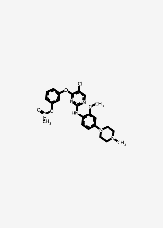 COc1cc(N2CCN(C)CC2)ccc1Nc1ncc(Cl)c(Oc2cccc(O[PH](C)=O)c2)n1